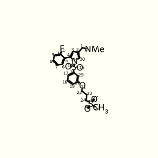 CNCc1cc(-c2ccccc2F)n(S(=O)(=O)c2cccc(OCCCS(C)(=O)=O)c2)c1